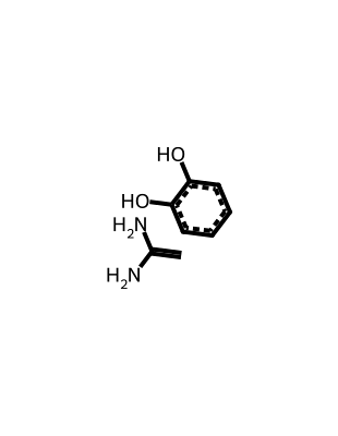 C=C(N)N.Oc1ccccc1O